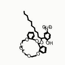 CCCCCCCCCCC(OC1Oc2ccccc2OCCOCCOCCOc2ccccc21)c1cc([N+](=O)[O-])ccc1O